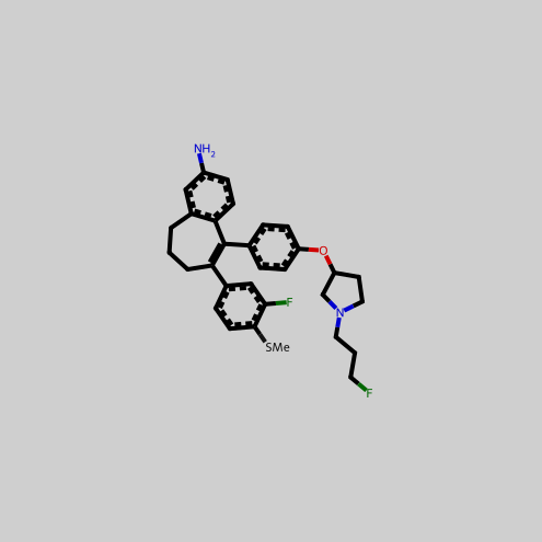 CSc1ccc(C2=C(c3ccc(OC4CCN(CCCF)C4)cc3)c3ccc(N)cc3CCC2)cc1F